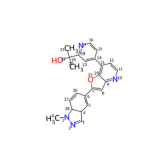 CN1N=CC2C=C(c3cc4nccc(-c5ccnc(C(C)(C)O)c5)c4o3)C=CC21